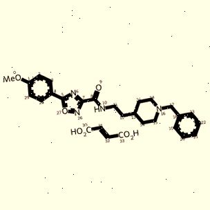 COc1ccc(-c2nc(C(=O)NCCC3CCN(Cc4ccccc4)CC3)no2)cc1.O=C(O)C=CC(=O)O